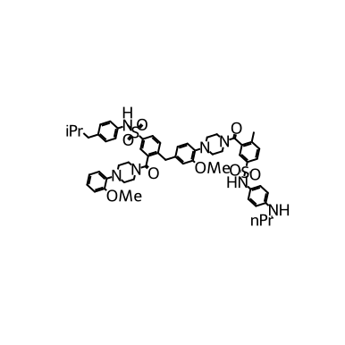 CCCNc1ccc(NS(=O)(=O)c2ccc(C)c(C(=O)N3CCN(c4ccc(Cc5ccc(S(=O)(=O)Nc6ccc(CC(C)C)cc6)cc5C(=O)N5CCN(c6ccccc6OC)CC5)cc4OC)CC3)c2)cc1